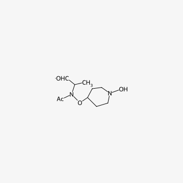 CC(=O)N(OC1CCN(O)CC1)C(C)[C]=O